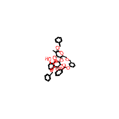 CC1[C@H](OCc2ccccc2)OC(COCc2ccccc2)[C@@H](O[C@@H]2OC(CO)[C@@H](OCc3ccccc3)[C@H](O)C2OC(=O)c2ccccc2)[C@H]1OCc1ccccc1